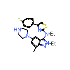 CCN(c1nc(-c2ccc(F)cc2)cs1)c1c2cc(N3CCNCC3)cc(C)c2nn1CC